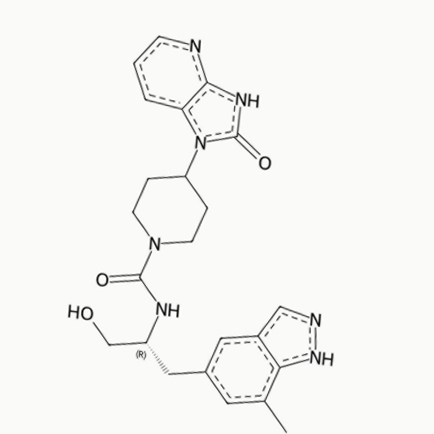 Cc1cc(C[C@H](CO)NC(=O)N2CCC(n3c(=O)[nH]c4ncccc43)CC2)cc2cn[nH]c12